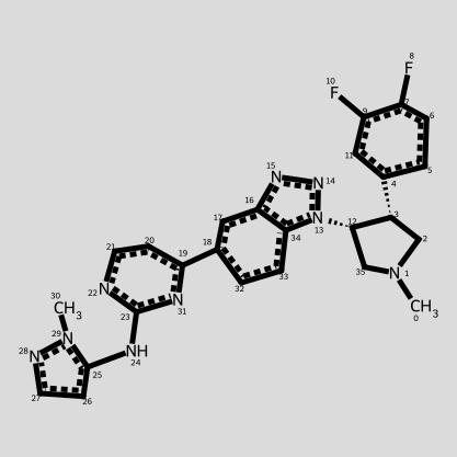 CN1C[C@@H](c2ccc(F)c(F)c2)[C@@H](n2nnc3cc(-c4ccnc(Nc5ccnn5C)n4)ccc32)C1